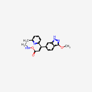 CNOC(=O)/C=C(/c1ccc2c(OC)n[nH]c2c1)c1cccc(C)n1